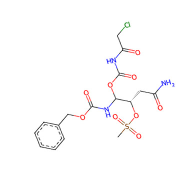 CS(=O)(=O)O[C@@H](CC(N)=O)C(NC(=O)OCc1ccccc1)OC(=O)NC(=O)CCl